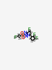 O=S(=O)(c1nc2n(n1)[C@H](c1cccc(F)c1F)C[C@@H]2F)[C@H]1C[C@H](F)C1